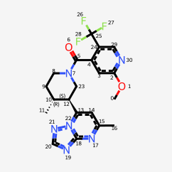 COc1cc(C(=O)N2CC[C@@H](C)[C@H](c3cc(C)nc4ncnn34)C2)c(C(F)(F)F)cn1